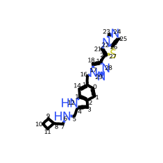 c1cc2cc(CNCC3CCC3)[nH]c2cc1Cn1cc(-c2cn3cncc3s2)nn1